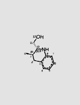 C[C@@H]1Cc2ccccc2N[C@H]1CO